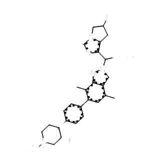 CCOC(=O)C(c1ncn2c1CC(F)C2)n1cc2c(C)cc(-c3ccc([C@@H]4CCN(CC)C[C@H]4F)cc3)c(C)c2n1